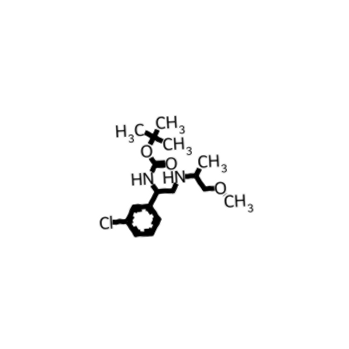 COCC(C)NCC(NC(=O)OC(C)(C)C)c1cccc(Cl)c1